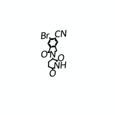 N#Cc1cc2c(cc1Br)C(=O)N(C1CCC(=O)NC1=O)C2